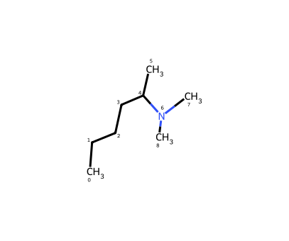 CCCCC(C)N(C)C